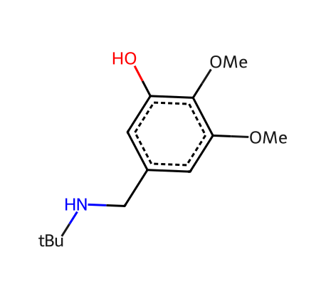 COc1cc(CNC(C)(C)C)cc(O)c1OC